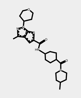 Cc1nn(C2CCOCC2)c2sc(C(=O)NC3CCC(C(=O)N4CCC(C)CC4)CC3)cc12